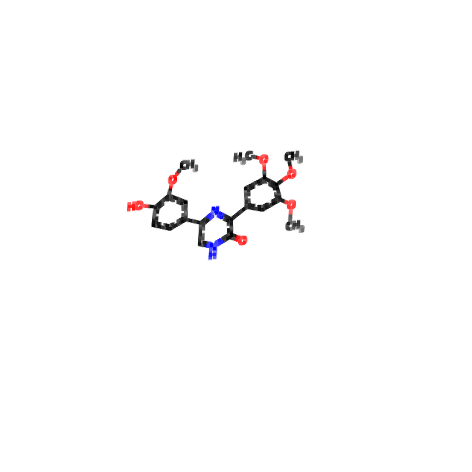 COc1cc(-c2c[nH]c(=O)c(-c3cc(OC)c(OC)c(OC)c3)n2)ccc1O